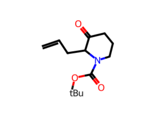 C=CCC1C(=O)CCCN1C(=O)OC(C)(C)C